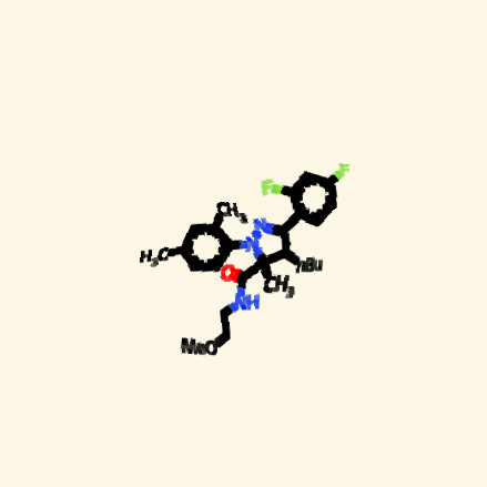 CCCCC1C(c2ccc(F)cc2F)=NN(c2ccc(C)cc2C)C1(C)C(=O)NCCOC